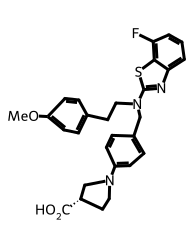 COc1ccc(CCN(Cc2ccc(N3CC[C@H](C(=O)O)C3)cc2)c2nc3cccc(F)c3s2)cc1